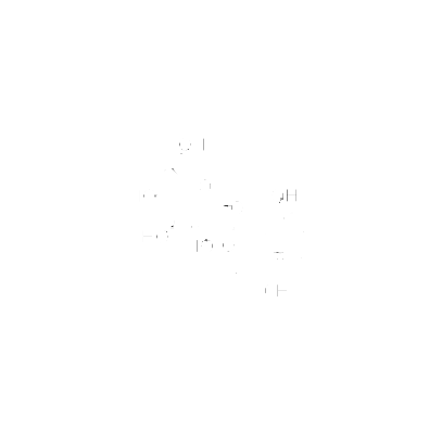 CC1=COC(O[C@@H]2O[C@H](CO)[C@@H](O)[C@H](O)[C@H]2O)C2C(O)CCC12